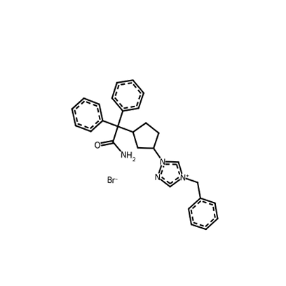 NC(=O)C(c1ccccc1)(c1ccccc1)C1CCC(n2c[n+](Cc3ccccc3)cn2)C1.[Br-]